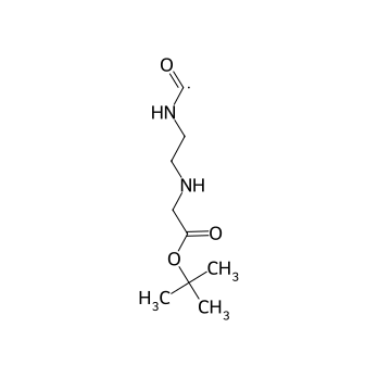 CC(C)(C)OC(=O)CNCCN[C]=O